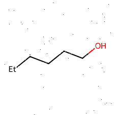 [CH2]C[CH]CCCO